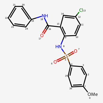 COc1ccc(S(=O)(=O)Nc2ccc(Cl)cc2C(=O)Nc2ccccc2)cc1